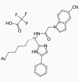 CC(=O)CCCCC[C@H](NC(=O)Cn1ccc2cc(C#N)ccc21)c1ncc(-c2ccccc2)[nH]1.O=C(O)C(F)(F)F